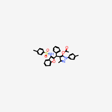 CC(=O)Oc1c(C(c2ccccc2)c2oc3ccccc3c2NS(=O)(=O)c2ccc(C)cc2)c(C)nn1-c1ccc(C)cc1